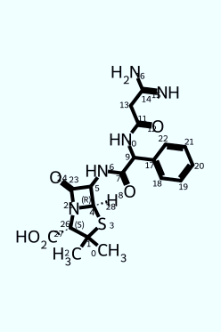 CC1(C)S[C@@H]2C(NC(=O)C(NC(=O)CC(=N)N)c3ccccc3)C(=O)N2[C@H]1C(=O)O